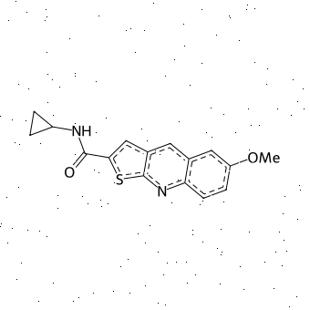 COc1ccc2nc3sc(C(=O)NC4CC4)cc3cc2c1